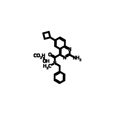 CN(Cc1ccccc1)C(=O)c1nc(N)nc2ccc(C3CCC3)cc12.O=C(O)O